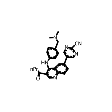 CCCC(=O)c1cnc2ccc(-c3cnc(C#N)nc3)cc2c1Nc1ccc(CN(C)C)cc1